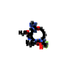 CCN1C(=O)N[C@@H](CC(O)C(F)(F)F)CCCCCOc2nc(cn3ncnc23)-c2cc(ncc2OC)[C@H]1C